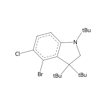 CC(C)(C)N1CC(C(C)(C)C)(C(C)(C)C)c2c1ccc(Cl)c2Br